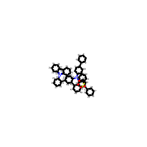 c1ccc(-c2ccc(N(c3ccc(-c4ccccc4)cc3)c3ccc(-c4ccccc4-n4c5ccccc5c5ccccc54)cc3-c3cccc4sc5ccccc5c34)cc2)cc1